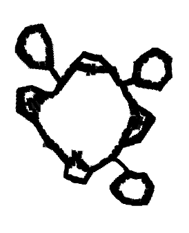 [c]1c2nc(c(-c3ccccc3)c3ccc([nH]3)c(-c3ccccc3)c3nc(c(-c4ccccc4)c4ccc1[nH]4)C=C3)C=C2